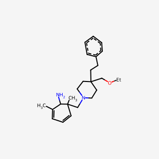 CCOCC1(CCc2ccccc2)CCN(CC2(C)C=CC=C(C)C2N)CC1